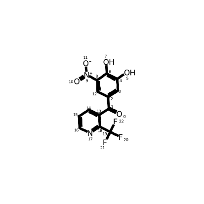 O=C(c1cc(O)c(O)c([N+](=O)[O-])c1)c1cccnc1C(F)(F)F